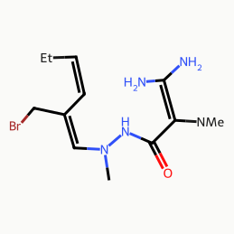 CC/C=C\C(=C/N(C)NC(=O)C(NC)=C(N)N)CBr